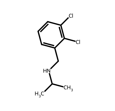 CC(C)NCc1cccc(Cl)c1Cl